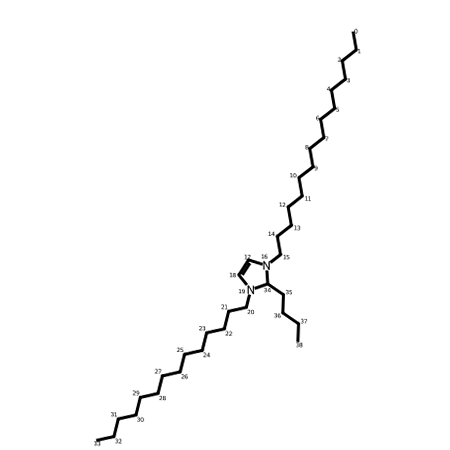 CCCCCCCCCCCCCCCCN1C=CN(CCCCCCCCCCCCCC)C1CCCC